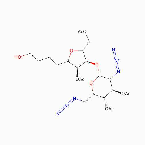 CC(=O)OC[C@H]1OC(CCCCO)[C@H](OC(C)=O)[C@@H]1O[C@H]1O[C@@H](CN=[N+]=[N-])[C@@H](OC(C)=O)[C@H](OC(C)=O)C1N=[N+]=[N-]